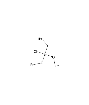 CC(C)C[Si](Cl)(OC(C)C)OC(C)C